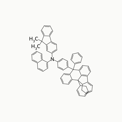 CC1(C)c2ccccc2-c2ccc(N(c3ccc(C4(c5ccccc5)c5ccccc5C5(C6C=CC=CC6)c6c(cccc64)C4=CC=CCC45)cc3)c3cccc4ccccc34)cc21